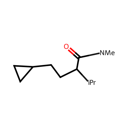 CNC(=O)C(CCC1CC1)C(C)C